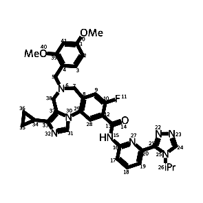 COc1ccc(CN2Cc3cc(F)c(C(=O)Nc4cccc(-c5nncn5C(C)C)n4)cc3-n3cnc(C4CC4)c3C2)c(OC)c1